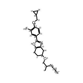 CC(COC1CCc2oc(-c3ccc(OCC4CC4)c(F)c3)nc2C1)N=[N+]=[N-]